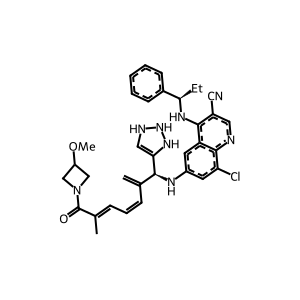 C=C(/C=C\C=C(/C)C(=O)N1CC(OC)C1)[C@H](Nc1cc(Cl)c2ncc(C#N)c(N[C@H](CC)c3ccccc3)c2c1)C1=CNNN1